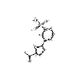 CC(=O)c1ccc(-c2cccc(S(N)(=O)=O)c2)o1